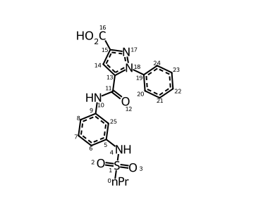 CCCS(=O)(=O)Nc1cccc(NC(=O)c2cc(C(=O)O)nn2-c2ccccc2)c1